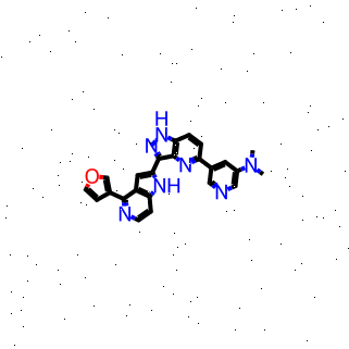 CN(C)c1cncc(-c2ccc3[nH]nc(-c4cc5c(-c6ccoc6)nccc5[nH]4)c3n2)c1